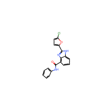 O=C(Nc1ccccc1)c1cccc2[nH]c(-c3ccc(Cl)o3)nc12